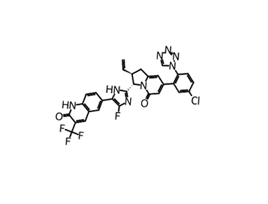 C=C[C@H]1Cc2cc(-c3cc(Cl)ccc3-n3cnnn3)cc(=O)n2[C@@H]1c1nc(F)c(-c2ccc3[nH]c(=O)c(C(F)(F)F)cc3c2)[nH]1